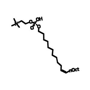 CCCCCCCC/C=C\CCCCCCCCCCOP(=O)(O)OCC[N+](C)(C)C